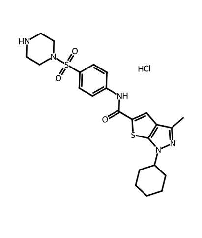 Cc1nn(C2CCCCC2)c2sc(C(=O)Nc3ccc(S(=O)(=O)N4CCNCC4)cc3)cc12.Cl